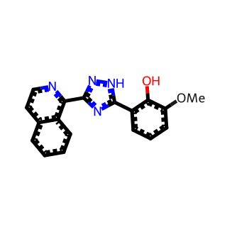 COc1cccc(-c2nc(-c3nccc4ccccc34)n[nH]2)c1O